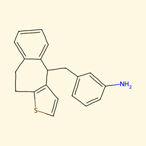 Nc1cccc(CC2c3ccccc3CCc3sccc32)c1